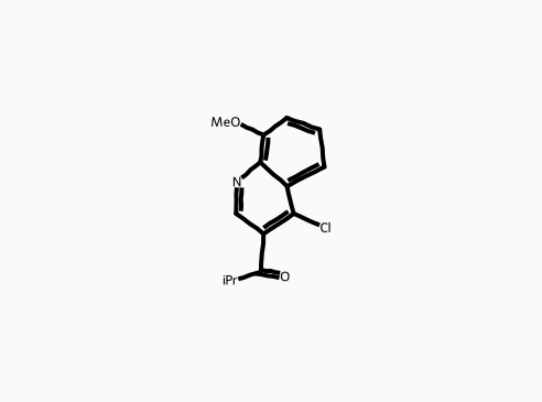 COc1cccc2c(Cl)c(C(=O)C(C)C)cnc12